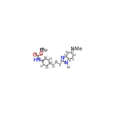 CNc1ccc2c(c1)nc(CCCc1ccc(NC(=O)OC(C)(C)C)cc1)n2C